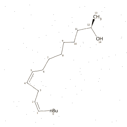 CCCC/C=C\C/C=C\CCCCCC[C@@H](C)O